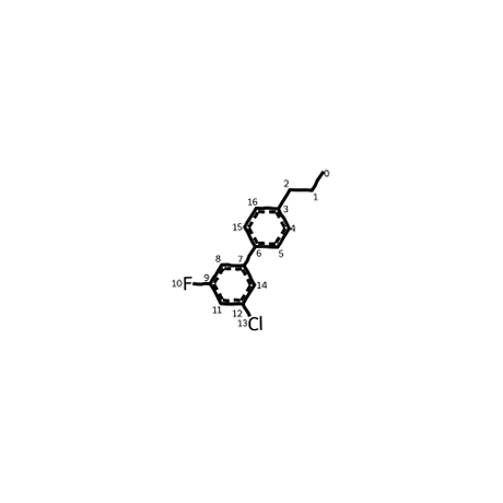 CCCc1ccc(-c2cc(F)cc(Cl)c2)cc1